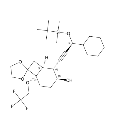 CC(C)(C)[Si](C)(C)O[C@H](C#C[C@@H]1[C@@H](O)CC[C@]2(OCC(F)(F)F)[C@H]1CC21OCCO1)C1CCCCC1